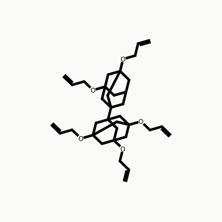 C=CCOC12CC3CC(OCC=C)(C1)CC(C14CC5(OCC=C)CC(OCC=C)(CC(OCC=C)(C5)C1)C4)(C3)C2